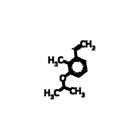 C=[C]c1cccc(OC(C)C)c1C